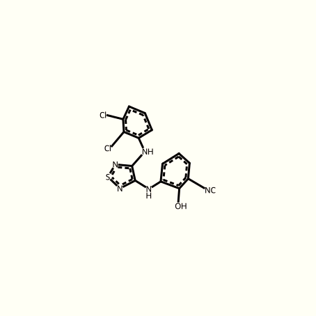 [C-]#[N+]c1cccc(Nc2nsnc2Nc2cccc(Cl)c2Cl)c1O